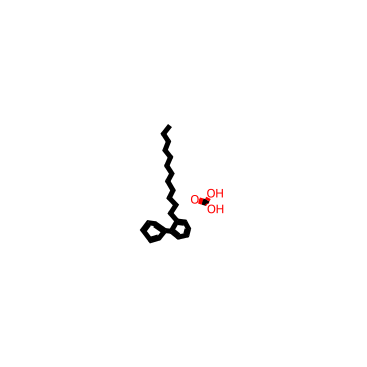 CCCCCCCCCCCCc1ccccc1-c1ccccc1.O=C(O)O